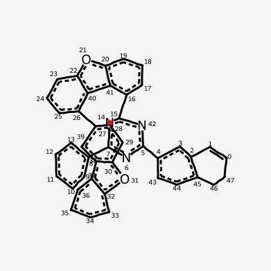 C1=Cc2cc(-c3nc(-c4ccccc4)nc(-c4cccc5oc6cccc(-c7ccc8oc9ccccc9c8c7)c6c45)n3)ccc2CC1